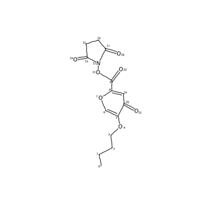 CCCCOc1coc(C(=O)ON2C(=O)CCC2=O)cc1=O